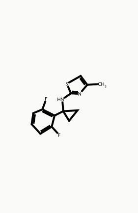 Cc1csc(NC2(c3c(F)cccc3F)CC2)n1